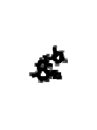 CC1=[C]([Zr][C]2(C)C=Cc3c(C)cccc32)CC=C1.Cl.Cl